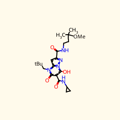 COC(C)(C)CCNC(=O)c1cc2n(CC(C)(C)C)c(=O)c(C(=O)NC3CC3)c(O)n2n1